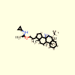 C=C(NC1CC1)OCCC1CCC2C1(C)CC[C@@H]1C3(C)CCCC[C@H]3[C@@H](CC)C[C@@]21N